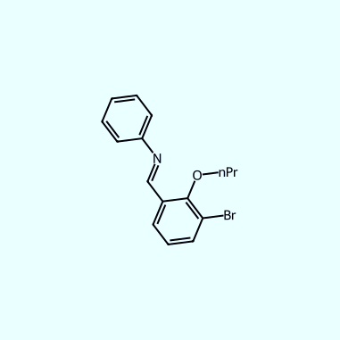 CCCOc1c(Br)cccc1/C=N/c1ccccc1